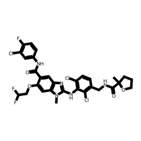 Cn1c(Nc2c(Cl)ccc(CNC(=O)C3(C)CCCO3)c2Cl)nc2cc(C(=O)Nc3ccc(F)c(Cl)c3)c(OCC(F)F)cc21